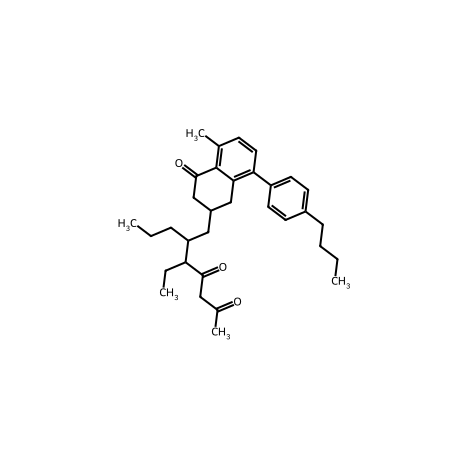 CCCCc1ccc(-c2ccc(C)c3c2CC(CC(CCC)C(CC)C(=O)CC(C)=O)CC3=O)cc1